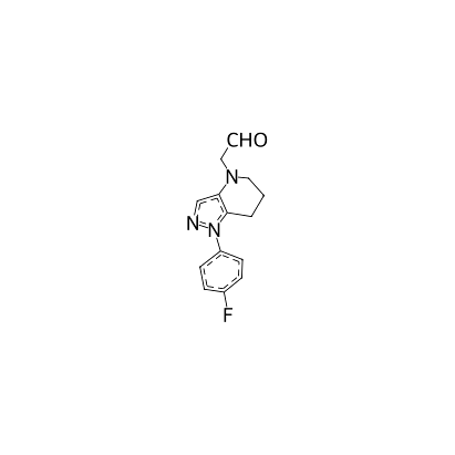 O=CCN1CCCc2c1cnn2-c1ccc(F)cc1